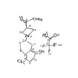 COC(=O)C1CN(C2CCc3c(Cl)ccc(O)c3C2)C1.O=C(O)C(F)(F)F